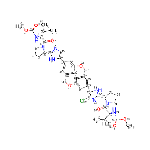 COC(=O)NC(C(=O)N1CCC[C@H]1c1ncc(-c2cc3c4c(c2)OCc2cc(-c5[nH]c([C@@H]6CCCN6C(=O)[C@@H](NC(=O)OC)C(C)C)nc5Cl)cc(c2-4)OC3)[nH]1)C(C)C